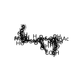 COC(=O)[C@@]1(OCCCSCCNC(=O)c2ccc(C(=O)NCCSCCCO[C@]3(C(=O)OC)C[C@H](O)C[C@H]([C@H](O)[C@H](O)CNC(=O)c4ccc(-c5ccccc5)cc4)O3)cc2OCCCNC(=O)CCCCC(=O)O)C[C@H](O)[C@@H](NC(C)=O)[C@H]([C@H](O)[C@H](O)CNC(=O)c2ccc(-c3ccccc3)cc2)O1